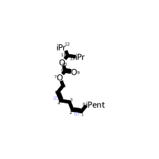 CCCC(C)/C=C\C/C=C\COC(=O)OC(C(C)C)C(C)C